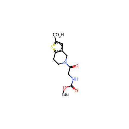 CC(C)(C)OC(=O)NCC(=O)N1CCc2sc(C(=O)O)cc2C1